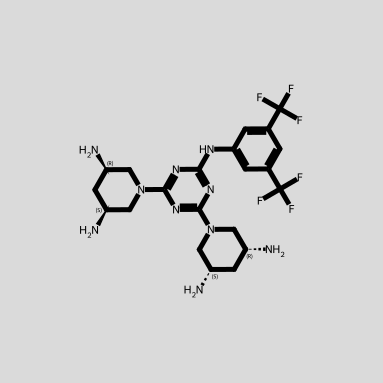 N[C@@H]1C[C@H](N)CN(c2nc(Nc3cc(C(F)(F)F)cc(C(F)(F)F)c3)nc(N3C[C@H](N)C[C@H](N)C3)n2)C1